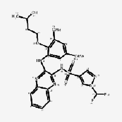 COc1cc(Nc2nc3ccccc3nc2NS(=O)(=O)c2cnn(C(F)F)c2)c(OCCC(C)O)c(OC)c1